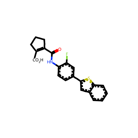 O=C(O)C1=C(C(=O)Nc2ccc(-c3cc4ccccc4s3)cc2F)CCC1